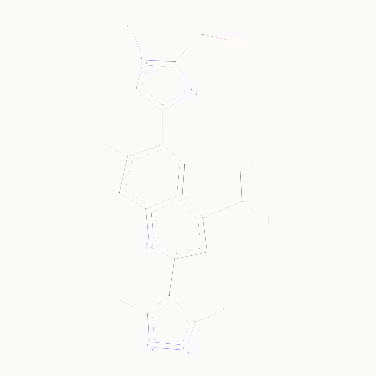 Cc1n[nH]c(Cl)c1-c1cc(C(C)C)c2cc(-c3cn(C)c(CO)n3)c(F)cc2n1